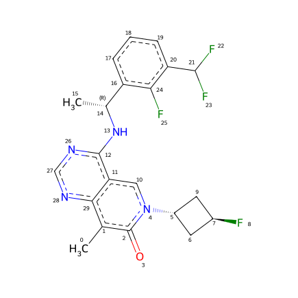 Cc1c(=O)n([C@H]2C[C@H](F)C2)cc2c(N[C@H](C)c3cccc(C(F)F)c3F)ncnc12